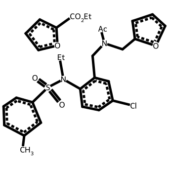 CCN(c1ccc(Cl)cc1CN(Cc1ccco1)C(C)=O)S(=O)(=O)c1cccc(C)c1.CCOC(=O)c1ccco1